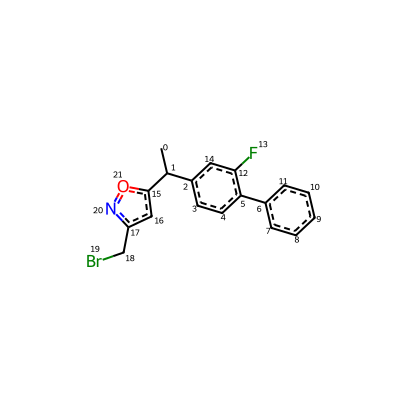 CC(c1ccc(-c2ccccc2)c(F)c1)c1cc(CBr)no1